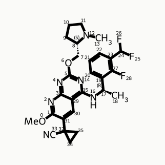 COc1nc2nc(OC[C@@H]3CCCN3C)nc(N[C@H](C)c3cccc(C(F)F)c3F)c2cc1C1(C#N)CC1